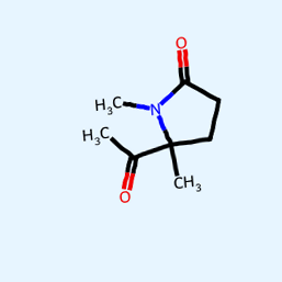 CC(=O)C1(C)CCC(=O)N1C